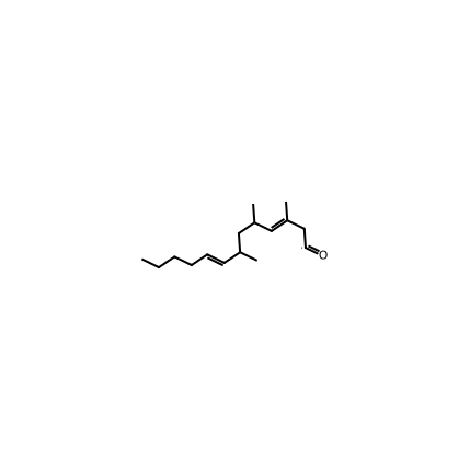 CCCC/C=C/C(C)CC(C)/C=C(\C)C[C]=O